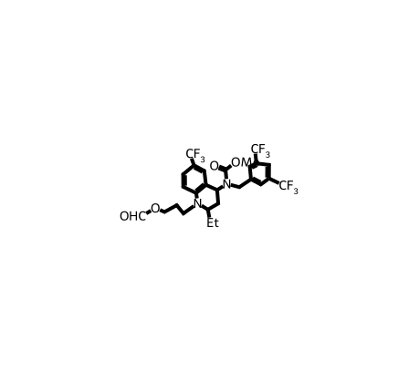 CCC1CC(N(Cc2cc(C(F)(F)F)cc(C(F)(F)F)c2)C(=O)OC)c2cc(C(F)(F)F)ccc2N1CCCOC=O